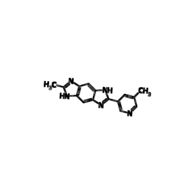 Cc1cncc(-c2nc3cc4[nH]c(C)nc4cc3[nH]2)c1